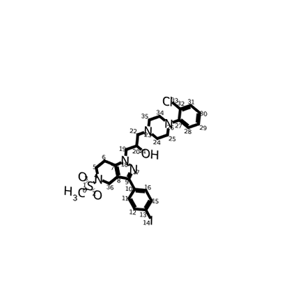 CS(=O)(=O)N1CCc2c(c(-c3ccc(I)cc3)nn2CC(O)CN2CCN(c3ccccc3Cl)CC2)C1